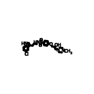 CN1CCN(C[C@H](O)COc2ccc(S(=O)(=O)NCCCc3c[nH]c4ccc(Cl)cc34)cc2)CC1